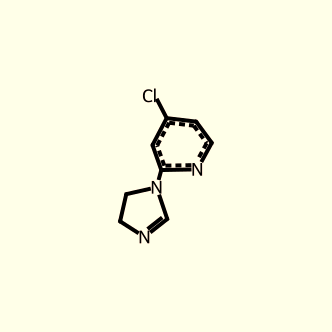 Clc1ccnc(N2C=NCC2)c1